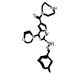 Cc1cccc(/C=N/Nc2nc(N3CCOCC3)c3cc(C(=O)N4CCNCC4)cn3n2)c1